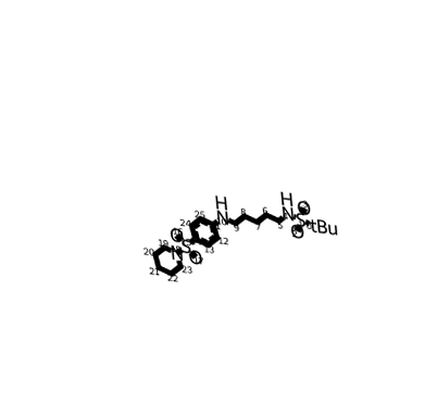 CC(C)(C)S(=O)(=O)NCCCCCNc1ccc(S(=O)(=O)N2CCCCC2)cc1